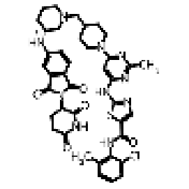 Cc1nc(Nc2ncc(C(=O)Nc3c(C)cccc3Cl)s2)cc(N2CCC(CN3CCC[C@@H](Nc4ccc5c(c4)C(=O)N(C4CCC(=O)NC4=O)C5=O)C3)CC2)n1